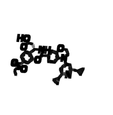 CCS(=O)(=O)c1ccc([C@H](CC(=O)O)NC(=O)c2ccc3c(c2)OCCN3c2cc(C3CC3)nc(C3CC3)c2)cc1